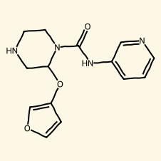 O=C(Nc1cccnc1)N1CCNCC1Oc1ccoc1